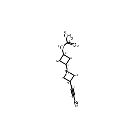 CC(=O)OC1CC(N2CC(C#CBr)C2)C1